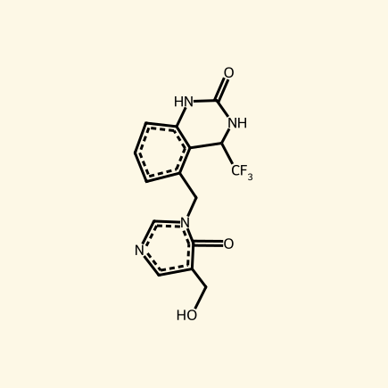 O=C1Nc2cccc(Cn3cncc(CO)c3=O)c2C(C(F)(F)F)N1